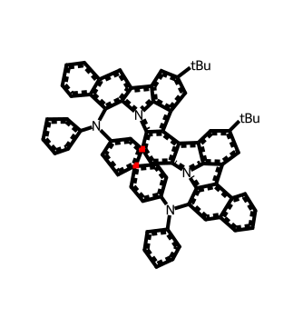 CC(C)(C)c1cc2c3cc4ccccc4c(N(c4ccccc4)c4ccccc4)c3n3c4ccc5c(c6cc(C(C)(C)C)cc7c8c9ccccc9cc(N(c9ccccc9)c9ccccc9)c8n5c67)c4c(c1)c23